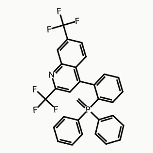 C=P(c1ccccc1)(c1ccccc1)c1ccccc1-c1cc(C(F)(F)F)nc2cc(C(F)(F)F)ccc12